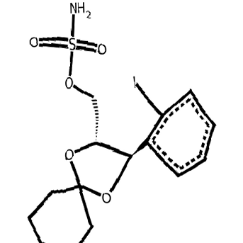 NS(=O)(=O)OC[C@H]1OC2(CCCCC2)O[C@@H]1c1ccccc1I